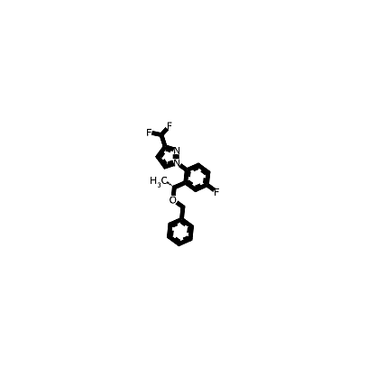 C[C@@H](OCc1ccccc1)c1cc(F)ccc1-n1ccc(C(F)F)n1